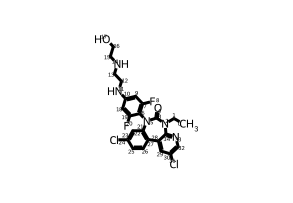 CCN1C(=O)N(c2c(F)cc(NCCNCCO)cc2F)c2cc(Cl)ccc2-c2cc(Cl)cnc21